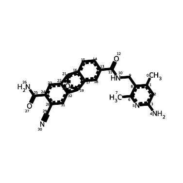 Cc1cc(N)nc(C)c1CNC(=O)c1ccc2c(c1)c1oc2c2cc(C(N)=O)c(C#N)cc21